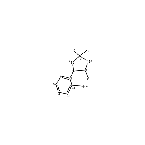 [CH2]C1OC(C)(C)OC1c1ccccc1F